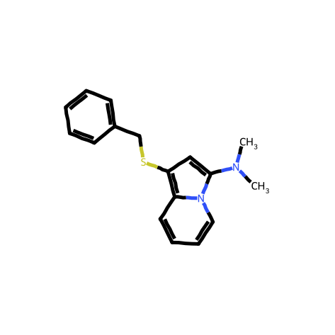 CN(C)c1cc(SCc2ccccc2)c2ccccn12